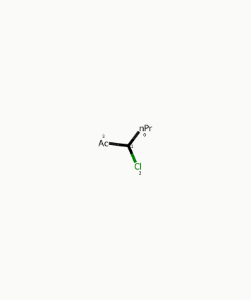 CCCC(Cl)C(C)=O